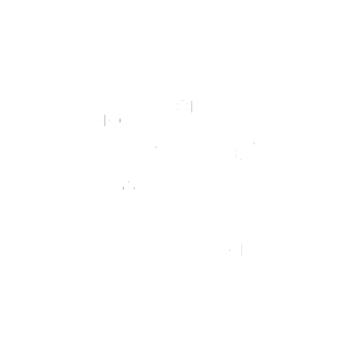 OC(O)(O)C(Cl)C(Cl)Cl